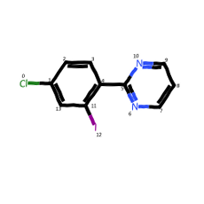 Clc1ccc(-c2ncccn2)c(I)c1